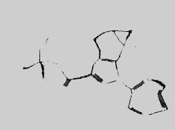 CC(C)(C#N)NC(=O)c1nn(-c2cnccn2)c2c1C[C@H]1C[C@@H]21